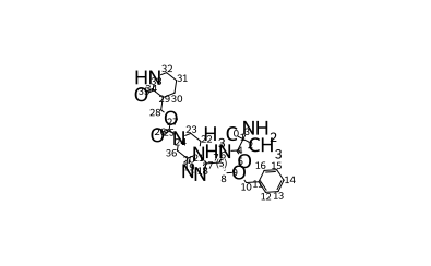 CC(C)(N)C(=O)N[C@H](COCc1ccccc1)c1nnc2n1CCN(C(=O)OCC1CCCNC1=O)C2